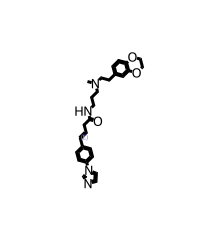 CN(CCCNC(=O)C/C=C/c1ccc(-n2ccnc2)cc1)CCc1ccc2c(c1)OCCO2